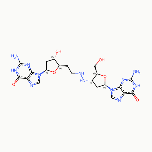 Nc1nc2c(ncn2[C@H]2C[C@H](NNCC[C@H]3O[C@@H](n4cnc5c(=O)[nH]c(N)nc54)C[C@@H]3O)[C@@H](CO)O2)c(=O)[nH]1